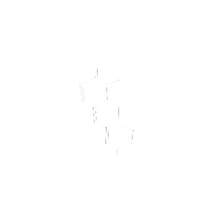 Cc1ccc2cc3ccccc3cc2c1S(=O)(=O)O